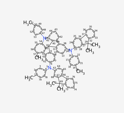 Cc1ccc(N(c2ccc(C3(c4ccc(N(c5ccc(C)cc5)c5ccc6c(c5)C(C)(C)c5ccccc5-6)cc4)c4ccccc4N(c4ccc(C)cc4)c4ccc(C)cc43)cc2)c2ccc3c(c2)C(C)(C)c2ccccc2-3)cc1